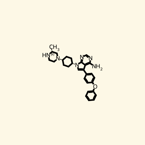 C[C@@H]1CN([C@H]2CC[C@@H](n3cc(-c4ccc(Oc5ccccc5)cc4)c4c(N)ncnc43)CC2)CCN1